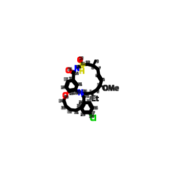 CC[C@@H]1C[C@@H](OC)/C=C/C[C@H](C)C/[SH](=O)=N\C(=O)c2ccc3c(c2)N(Cc2ccc(Cl)cc2CCCCO3)C1